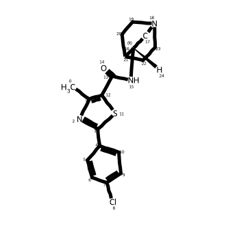 Cc1nc(-c2ccc(Cl)cc2)sc1C(=O)N[C@H]1CN2CCC1CC2